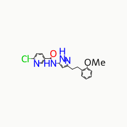 COc1ccccc1CCc1cc(NC(=O)c2ccc(Cl)nc2)[nH]n1